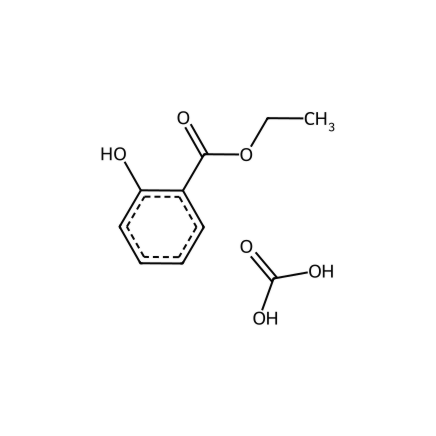 CCOC(=O)c1ccccc1O.O=C(O)O